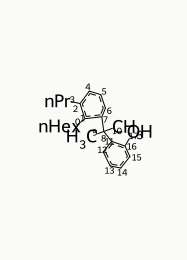 CCCCCCc1c(CCC)cccc1C(C)(C)c1ccccc1O